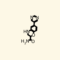 NC(=O)C1CNc2cc(-c3cncnc3)ccc2O1